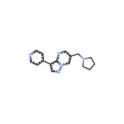 c1cc(-c2cnn3cc(CN4CCCC4)cnc23)ccn1